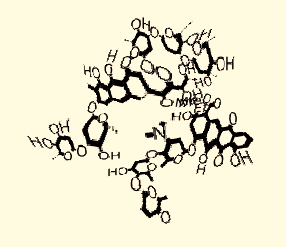 CCC1(O)CC(OC2CC(N(C)C)C(OC3CC(O)C(OC4CCC(=O)C(C)O4)C(C)O3)C(C)O2)c2c(cc3c(c2O)C(=O)c2c(O)cccc2C3=O)C1C(=O)OC.CO[C@H](C(=O)[C@@H](O)[C@@H](C)O)[C@@H]1Cc2cc3cc(O[C@H]4C[C@@H](O[C@H]5C[C@@H](O)[C@H](O)[C@@H](C)O5)[C@H](O)[C@@H](C)O4)c(C)c(O)c3c(O)c2C(=O)[C@H]1O[C@H]1C[C@@H](O[C@H]2C[C@@H](O[C@H]3C[C@](C)(O)[C@H](O)[C@@H](C)O3)[C@@H](O)[C@@H](C)O2)[C@H](O)[C@@H](C)O1